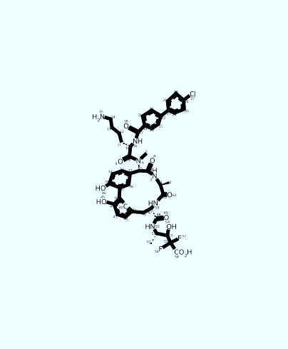 C[C@@H]1NC(=O)[C@@H](N(C)C(=O)[C@H](CCCCN)NC(=O)c2ccc(-c3ccc(Cl)cc3)cc2)c2ccc(O)c(c2)-c2cc(ccc2O)C[C@@H](C(=O)N[C@@H](C)C(O)C(F)(F)C(=O)O)NC1=O